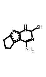 NC1=NC(S)Nc2sc3c(c21)CCC3